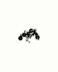 CN1CCN(C(C)(C)C=C(C#N)C(=O)N2CCCC(n3nc(-c4ccc(Oc5ccccc5)cc4F)c4c(N)ncnc43)C2)CC1